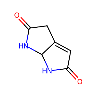 O=C1C=C2CC(=O)NC2N1